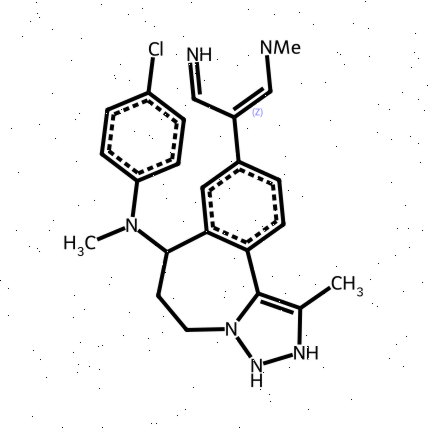 CN/C=C(\C=N)c1ccc2c(c1)C(N(C)c1ccc(Cl)cc1)CCN1NNC(C)=C21